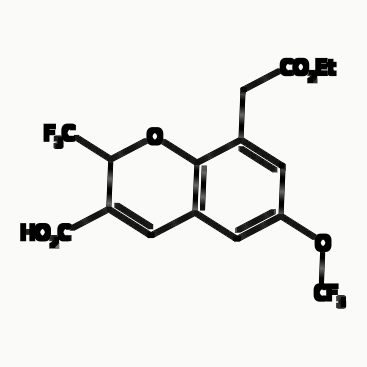 CCOC(=O)Cc1cc(OC(F)(F)F)cc2c1OC(C(F)(F)F)C(C(=O)O)=C2